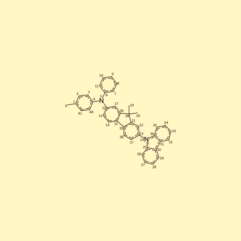 Cc1ccc(N(c2ccccc2)c2ccc3c(c2)C(C)(C)c2cc(-n4c5ccccc5c5ccccc54)ccc2-3)cc1